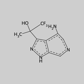 CC(O)(c1n[nH]c2cncc(N)c12)C(F)(F)F